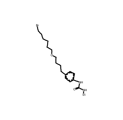 CCNC(=O)Nc1ccc(CCCCOCCCCCCBr)cc1